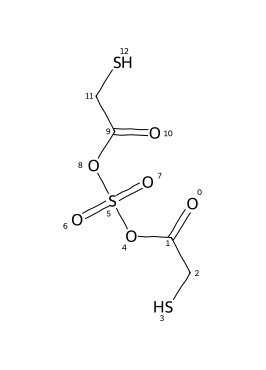 O=C(CS)OS(=O)(=O)OC(=O)CS